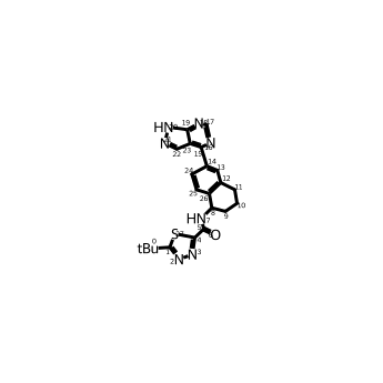 CC(C)(C)c1nnc(C(=O)NC2CCCc3cc(-c4ncnc5[nH]ncc45)ccc32)s1